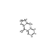 O=C1N=NC=C1C(=O)c1ccccc1